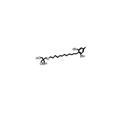 Cc1cc(C(C)(C)C)c(CCCCCCCCCCCCOCC(CO)(CO)CO)c(C(C)(C)C)c1